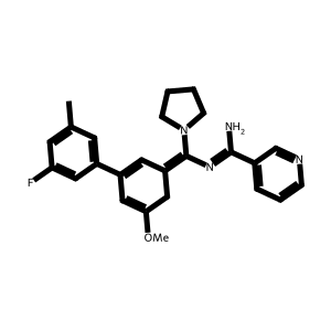 COC1=CC(c2cc(C)cc(F)c2)=C/C(=C(/N=C(\N)c2cccnc2)N2CCCC2)C1